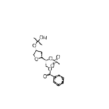 CC(C)(O)O[C@H]1CO[C@H]([C@@H](COC(=O)c2ccccc2)OS(C)(=O)=O)C1